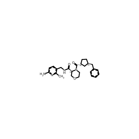 Cc1nc(N)ccc1CNC(=O)[C@@H]1COCCN1C(=O)[C@@H]1CC[C@@H](Cc2ccccc2)C1